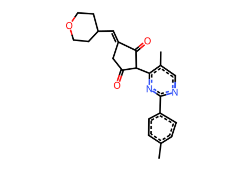 Cc1ccc(-c2ncc(C)c(C3C(=O)C/C(=C\C4CCOCC4)C3=O)n2)cc1